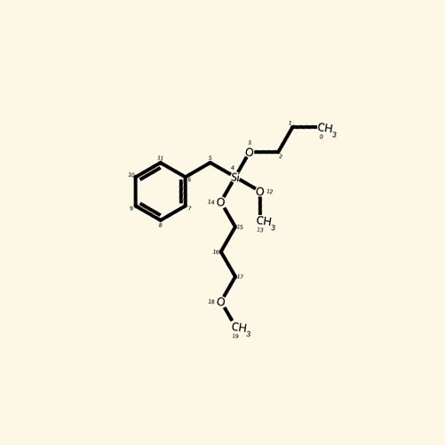 CCCO[Si](Cc1ccccc1)(OC)OCCCOC